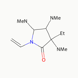 C=CN1C(=O)C(CC)(NC)C(NC)C1NC